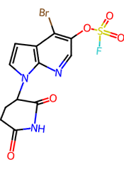 O=C1CCC(n2ccc3c(Br)c(OS(=O)(=O)F)cnc32)C(=O)N1